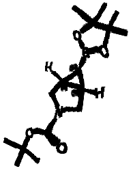 CC(C)(C)OC(=O)N1C[C@@H]2[C@H](C1)[C@H]2B1OC(C)(C)C(C)(C)O1